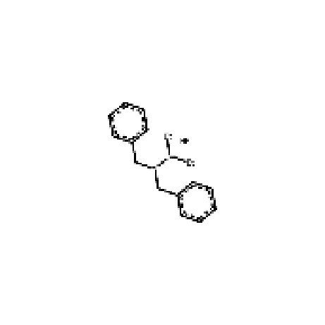 CCN(CC)N(Cc1ccccc1)Cc1ccccc1.F